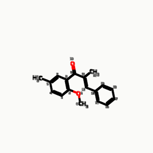 COc1ccc(C)cc1C(=O)C(C)=Cc1ccccc1